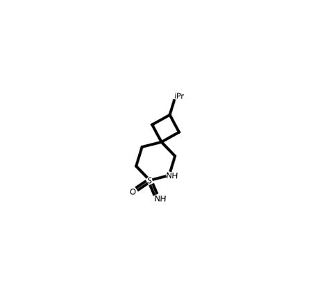 CC(C)C1CC2(CCS(=N)(=O)NC2)C1